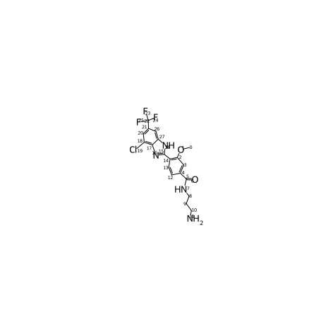 COc1cc(C(=O)NCCCN)ccc1-c1nc2c(Cl)cc(C(F)(F)F)cc2[nH]1